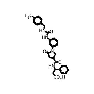 O=C(O)CC(NC(=O)C1CC(=O)N(c2cccc(NC(=O)NCc3ccc(C(F)(F)F)cc3)c2)C1)c1ccccc1